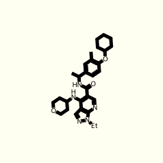 CCn1ncc2c(NC3CCOCC3)c(C(=O)NC(C)c3ccc(OC4CCCCC4)c(C)c3)cnc21